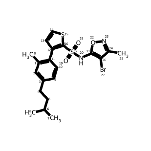 Cc1cc(CCC(C)C)ccc1-c1ccsc1S(=O)(=O)Nc1onc(C)c1Br